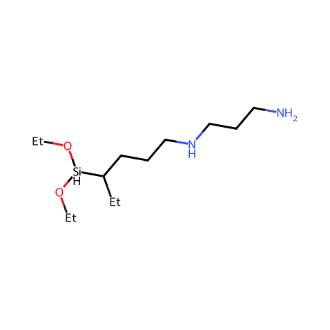 CCO[SiH](OCC)C(CC)CCCNCCCN